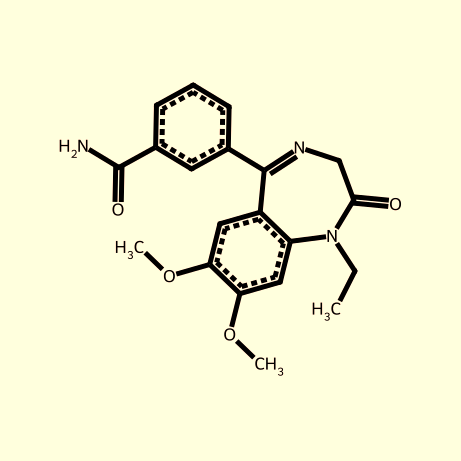 CCN1C(=O)CN=C(c2cccc(C(N)=O)c2)c2cc(OC)c(OC)cc21